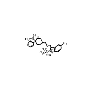 CN(C)C1(c2ccccc2)CCC(COCc2c([Si](C)(C)C(C)(C)C)[nH]c3ccc(C(F)(F)F)cc23)CC1